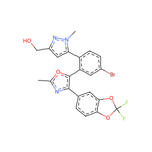 Cc1nc(-c2ccc3c(c2)OC(F)(F)O3)c(-c2cc(Br)ccc2-c2cc(CO)nn2C)o1